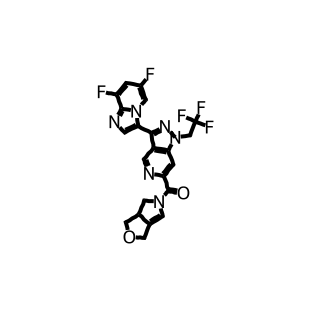 O=C(c1cc2c(cn1)c(-c1cnc3c(F)cc(F)cn13)nn2CC(F)(F)F)N1C=C2COCC2C1